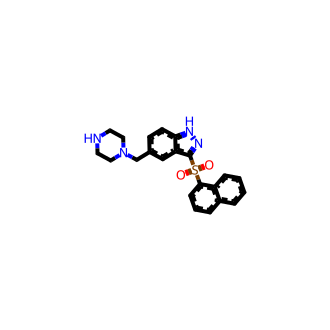 O=S(=O)(c1cccc2ccccc12)c1n[nH]c2ccc(CN3CCNCC3)cc12